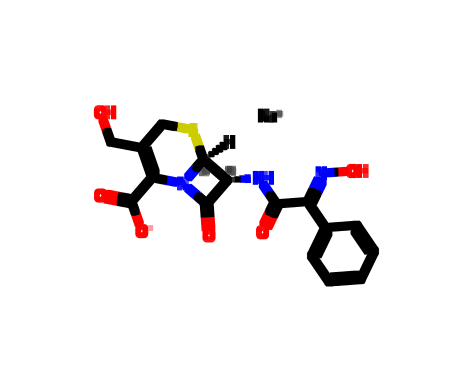 O=C([O-])C1=C(CO)CS[C@H]2[C@H](NC(=O)C(=NO)c3ccccc3)C(=O)N12.[Na+]